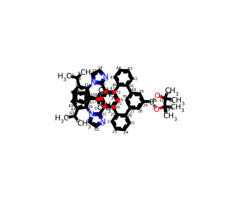 CC(C)c1cccc(C(C)C)c1-n1ccnc1-c1ccc(-c2ccccc2-c2cc(B3OC(C)(C)C(C)(C)O3)cc(-c3ccccc3-c3ccc(-c4nccn4-c4c(C(C)C)cccc4C(C)C)cc3)c2)cc1